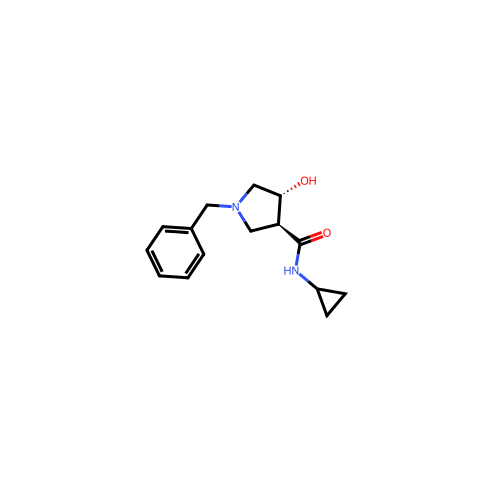 O=C(NC1CC1)[C@H]1CN(Cc2ccccc2)C[C@@H]1O